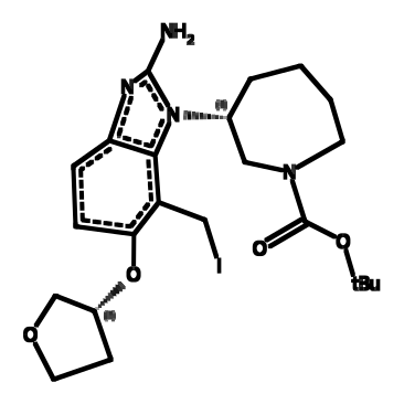 CC(C)(C)OC(=O)N1CCCC[C@@H](n2c(N)nc3ccc(O[C@@H]4CCOC4)c(CI)c32)C1